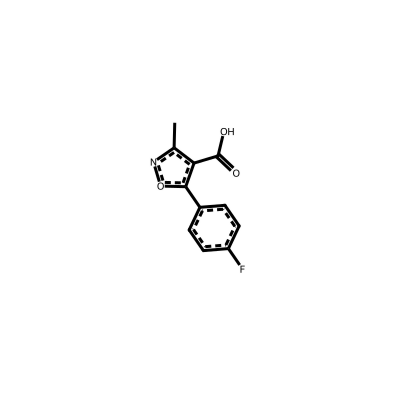 Cc1noc(-c2ccc(F)cc2)c1C(=O)O